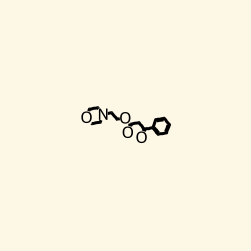 O=C(CC(=O)c1ccccc1)OCCN1CCOCC1